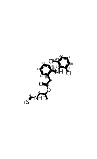 CC(CNC=S)OC(=O)Cc1ccccc1Nc1c(Cl)cccc1Cl